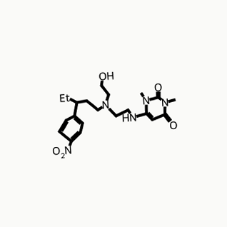 CCC(CCN(CCO)CCNc1cc(=O)n(C)c(=O)n1C)c1ccc([N+](=O)[O-])cc1